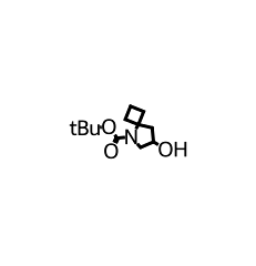 CC(C)(C)OC(=O)N1CC(O)CC12CCC2